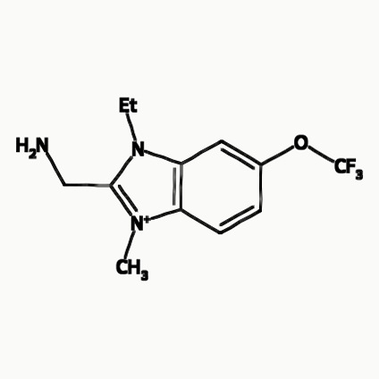 CCn1c(CN)[n+](C)c2ccc(OC(F)(F)F)cc21